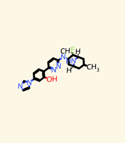 CC1C[C@H]2C[C@H](N(C)c3ccc(-c4ccc(-n5ccnc5)cc4O)nn3)[C@@H](F)[C@@H](C1)N2